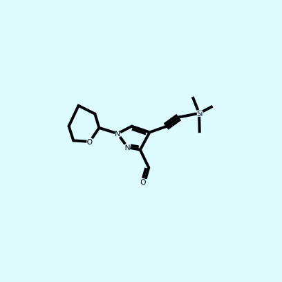 C[Si](C)(C)C#Cc1cn(C2CCCCO2)nc1C=O